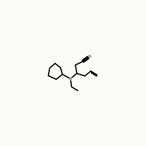 C=CCC(CC#N)N(CC)C1CCCCC1